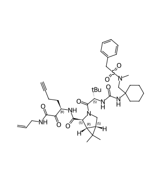 C#CCC[C@@H](NC(=O)[C@@H]1[C@@H]2[C@H](CN1C(=O)[C@@H](NC(=O)NC1(CN(C)S(=O)(=O)Cc3ccccc3)CCCCC1)C(C)(C)C)C2(C)C)C(=O)C(=O)NCC=C